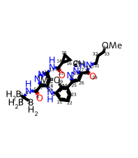 BC(B)(B)NC(=O)c1nnc(NC(=O)C2CC2)cc1Nc1cccc(-c2cc(C(=O)NCCCOC)n(C)n2)c1OC